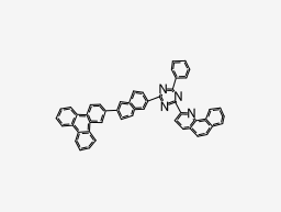 c1ccc(-c2nc(-c3ccc4cc(-c5ccc6c7ccccc7c7ccccc7c6c5)ccc4c3)nc(-c3ccc4ccc5ccccc5c4n3)n2)cc1